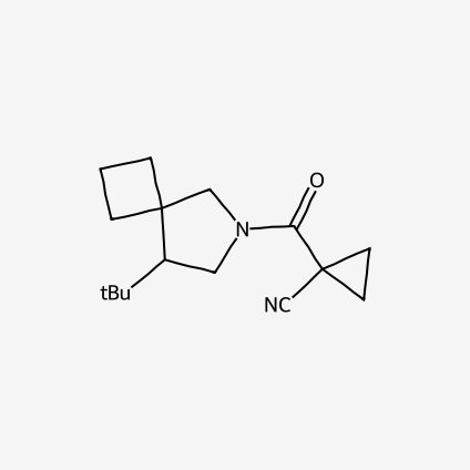 CC(C)(C)C1CN(C(=O)C2(C#N)CC2)CC12CCC2